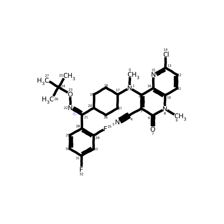 CN(c1c(C#N)c(=O)n(C)c2ccc(Cl)nc12)C1CCC(/C(=N\OC(C)(C)C)c2ccc(F)cc2F)CC1